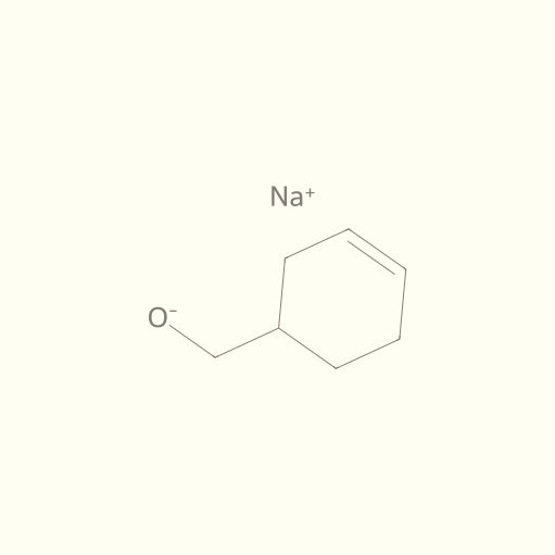 [Na+].[O-]CC1CC=CCC1